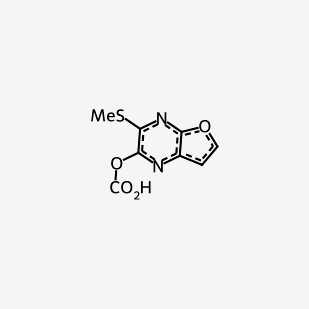 CSc1nc2occc2nc1OC(=O)O